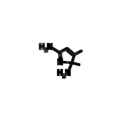 CC1=CC(N)=NC1(C)N